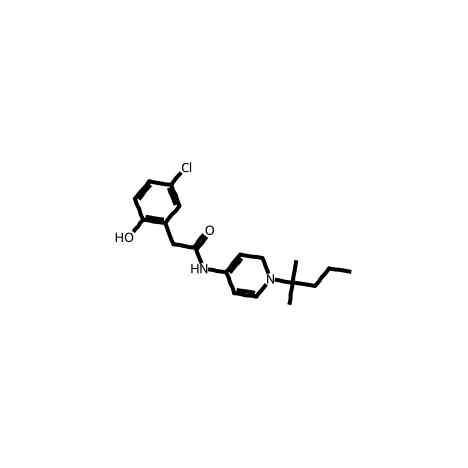 CCCC(C)(C)N1C=CC(NC(=O)Cc2cc(Cl)ccc2O)=CC1